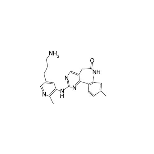 Cc1ccc2c(c1)NC(=O)Cc1cnc(Nc3cc(CCCN)cnc3C)nc1-2